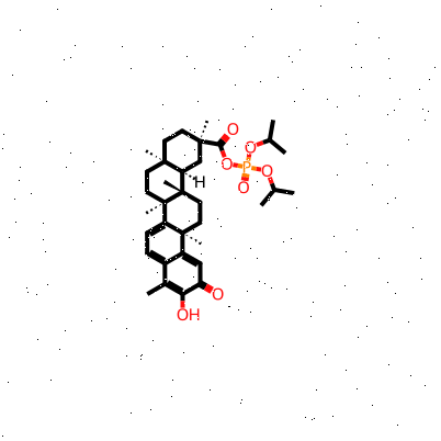 CC1=C(O)C(=O)C=C2C1=CC=C1[C@@]2(C)CC[C@@]2(C)[C@@H]3C[C@](C)(C(=O)OP(=O)(OC(C)C)OC(C)C)CC[C@]3(C)CC[C@]12C